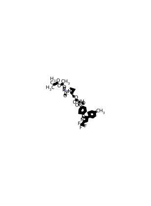 Cc1ccc(-c2cc(C(F)(F)F)nn2-c2ccc(S(=O)(=O)NC(=O)OC[C@@H]3CCN3/[N+]([O-])=N\OC(C)OC(=O)C(C)C)cc2)cc1